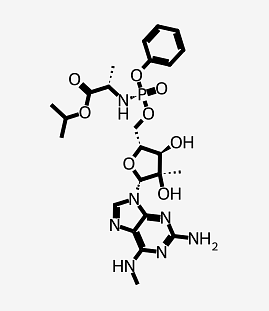 CNc1nc(N)nc2c1ncn2[C@@H]1O[C@H](CO[P@@](=O)(N[C@@H](C)C(=O)OC(C)C)Oc2ccccc2)[C@@H](O)[C@@]1(C)O